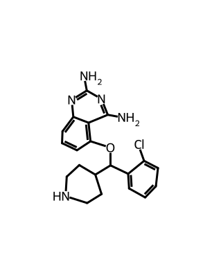 Nc1nc(N)c2c(OC(c3ccccc3Cl)C3CCNCC3)cccc2n1